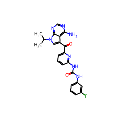 CC(C)n1cc(C(=O)c2cccc(NC(=O)Nc3cccc(F)c3)n2)c2c(N)ncnc21